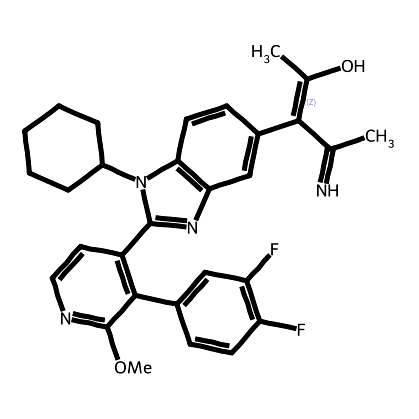 COc1nccc(-c2nc3cc(/C(C(C)=N)=C(\C)O)ccc3n2C2CCCCC2)c1-c1ccc(F)c(F)c1